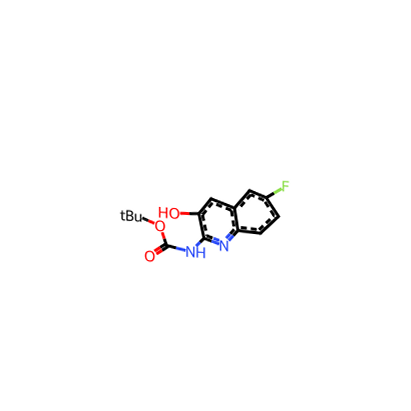 CC(C)(C)OC(=O)Nc1nc2ccc(F)cc2cc1O